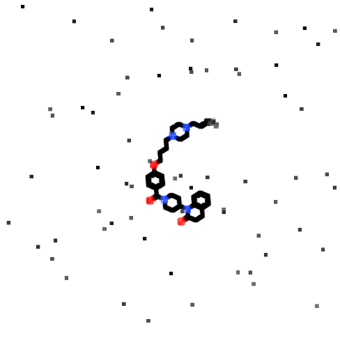 C=CCN1CCN(CCCCOc2ccc(C(=O)N3CCC(N4C(=O)CCc5ccccc54)CC3)cc2)CC1